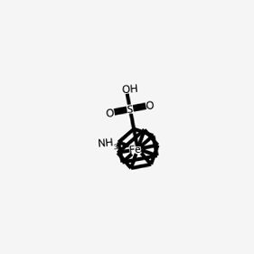 N.O=S(=O)(O)[C]12[CH]3[CH]4[CH]5[CH]1[Fe]45321678[CH]2[CH]1[CH]6[CH]7[CH]28